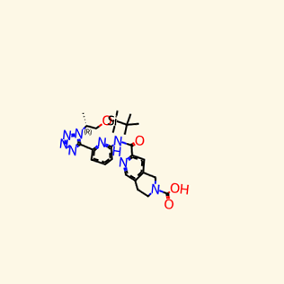 C[C@H](CO[Si](C)(C)C(C)(C)C)n1nnnc1-c1cccc(NC(=O)c2cc3c(cn2)CCN(C(=O)O)C3)n1